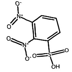 O=[N+]([O-])c1cccc(S(=O)(=O)O)c1[N+](=O)[O-]